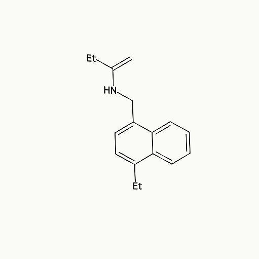 C=C(CC)NCc1ccc(CC)c2ccccc12